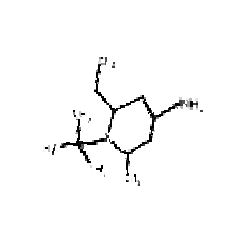 CCC1CC(N)CC(C)N1C(C)(C)C